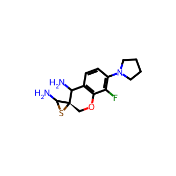 NC1S[C@]12COc1c(ccc(N3CCCC3)c1F)C2N